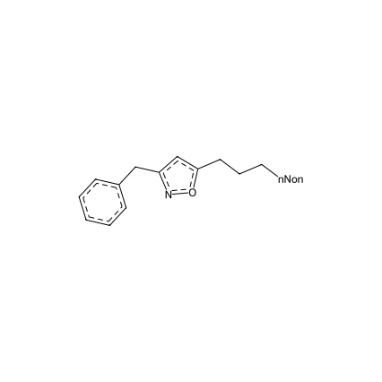 CCCCCCCCCCCCc1cc(Cc2ccccc2)no1